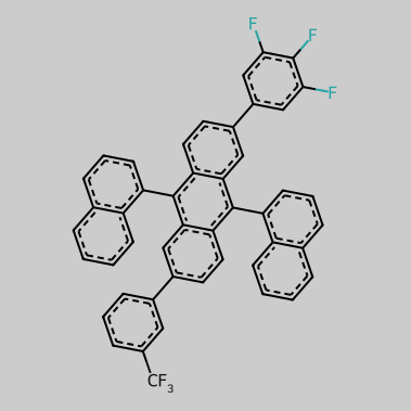 Fc1cc(-c2ccc3c(-c4cccc5ccccc45)c4cc(-c5cccc(C(F)(F)F)c5)ccc4c(-c4cccc5ccccc45)c3c2)cc(F)c1F